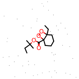 CCC(C)(C)OC(=O)C12CCCCC1(CC)OO2